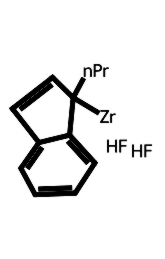 CCC[C]1([Zr])C=Cc2ccccc21.F.F